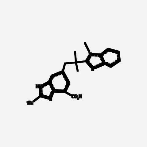 Cn1c(C(C)(C)Cc2cc(C(=O)O)c3nc(C(C)(C)C)[nH]c3c2)nc2ccccc21